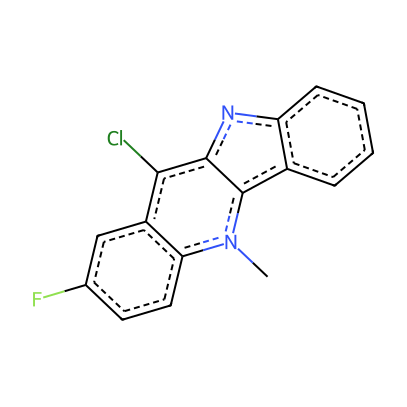 Cn1c2c3ccccc3nc-2c(Cl)c2cc(F)ccc21